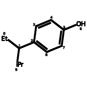 CCC(c1ccc(O)cc1)C(C)C